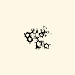 CC1(C)[C@@H]2[C@@H](C(=O)NC(C#N)c3cncc4cccnc34)N(C(=O)C(CC3CC3)NC(=O)[C@@H]3CCOC3)C[C@@H]21